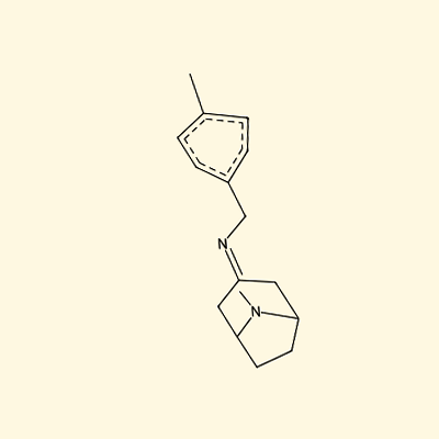 Cc1ccc(CN=C2CC3CCC(C2)N3C)cc1